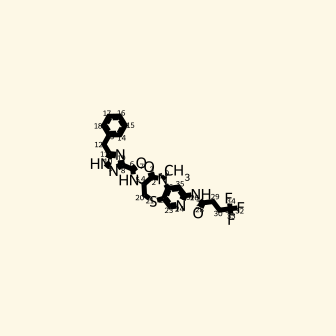 CN1C(=O)[C@@H](NC(=O)c2n[nH]c(Cc3ccccc3)n2)CSc2cnc(NC(=O)CCC(F)(F)F)cc21